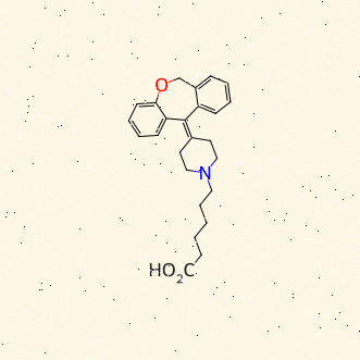 O=C(O)CCCCCN1CCC(=C2c3ccccc3COc3ccccc32)CC1